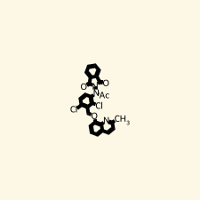 CC(=O)N(c1ccc(Cl)c(COc2cccc3ccc(C)nc23)c1Cl)N1C(=O)c2ccccc2C1=O